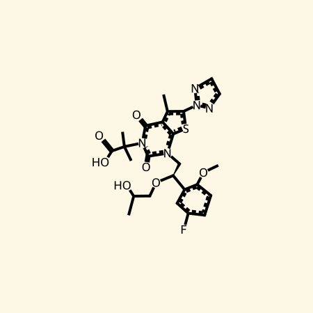 COc1ccc(F)cc1[C@H](Cn1c(=O)n(C(C)(C)C(=O)O)c(=O)c2c(C)c(-n3nccn3)sc21)OCC(C)O